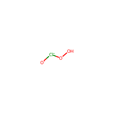 [O-][Cl+]OO